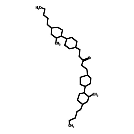 CCCCCC1CCC(C2CCC(CCC(=O)CCC3CCC(C4CCC(CCCCC)CC4C)CC3)CC2)C(C)C1